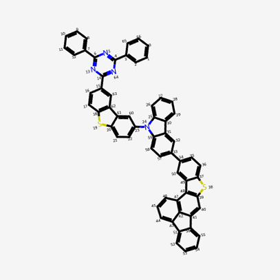 c1ccc(-c2nc(-c3ccccc3)nc(-c3ccc4sc5ccc(-n6c7ccccc7c7cc(-c8ccc9sc%10cc%11c%12c(cccc%12c%10c9c8)-c8ccccc8-%11)ccc76)cc5c4c3)n2)cc1